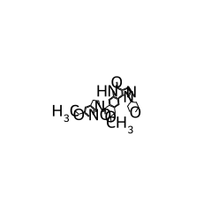 COCc1cc2c(cc1C(=O)N1CCc3cc(OC)cnc31)[nH]c(=O)c1cnn(C3CCOCC3)c12